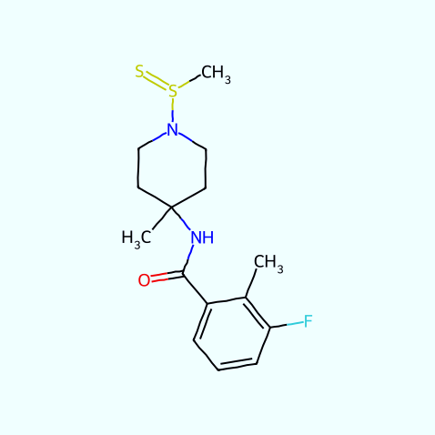 Cc1c(F)cccc1C(=O)NC1(C)CCN(S(C)=S)CC1